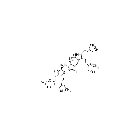 COC(CO)CCC1NC(=O)N(CN2C(=O)N(CN3C(=O)NC(CCC(CO)OC)C3CCC(CO)OC)C(O)C2O)C1CCC(CO)OC